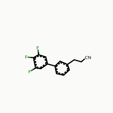 N#CCCc1cccc(-c2cc(F)c(F)c(F)c2)c1